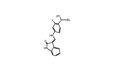 CCCCN(CCC)c1ccc(NC=C2C(=O)Nc3ccccc32)cc1F